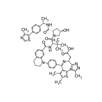 Cc1ncsc1-c1ccc(C(C)NC(=O)[C@@H]2C[C@@H](O)CN2C(=O)C(NC(=O)c2ccc3c(c2)N(c2ccc(C4=N[C@@H](CC(=O)O)c5nnc(C)n5-c5sc(C)c(C)c54)cc2)CCC3)C(C)(C)C)cc1